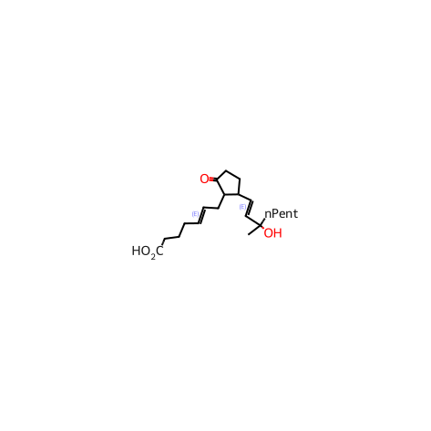 CCCCCC(C)(O)/C=C/C1CCC(=O)C1C/C=C/CCCC(=O)O